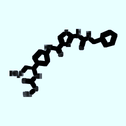 CC(C)(C)OC(=O)N[C@@H](CC(=O)O)c1ccc(NC(=O)c2csc(NC(=O)NCc3ccccc3)n2)cc1